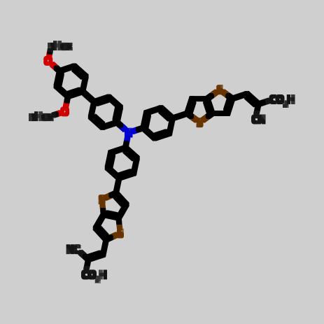 CCCCCCOc1ccc(-c2ccc(N(c3ccc(-c4cc5sc(/C=C(\C#N)C(=O)O)cc5s4)cc3)c3ccc(-c4cc5sc(/C=C(\C#N)C(=O)O)cc5s4)cc3)cc2)c(OCCCCCC)c1